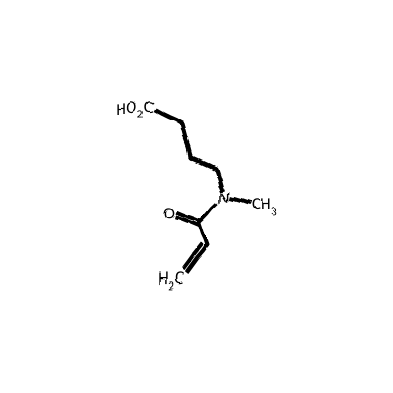 C=CC(=O)N(C)CCCC(=O)O